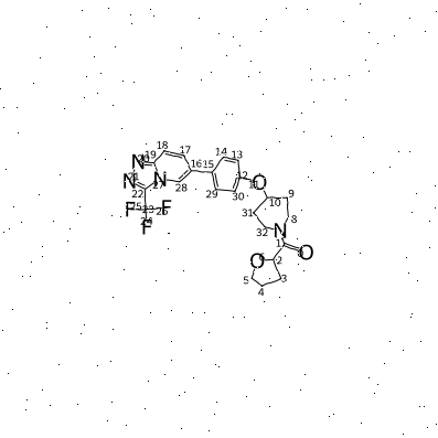 O=C(C1CCCO1)N1CCC(Oc2ccc(-c3ccc4nnc(C(F)(F)F)n4c3)cc2)CC1